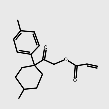 C=CC(=O)OCC(=O)C1(c2ccc(C)cc2)CCC(C)CC1